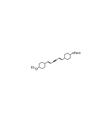 CCCCCC1CCC(C=CC#CC=CC2CCC(OCC)CC2)CC1